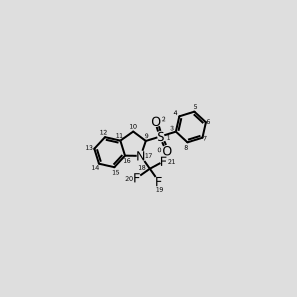 O=S(=O)(c1ccccc1)C1Cc2ccccc2N1C(F)(F)F